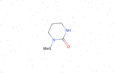 CSN1CCCNC1=O